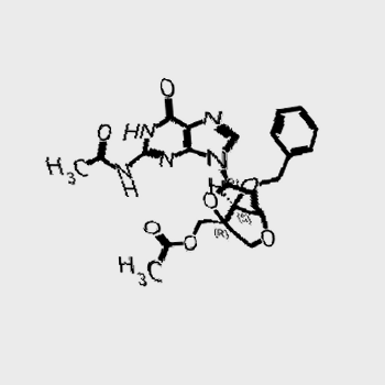 CC(=O)Nc1nc2c(ncn2[C@H]2CC3OC[C@](COC(C)=O)(O2)[C@H]3OCc2ccccc2)c(=O)[nH]1